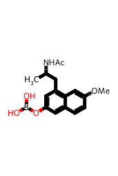 COc1ccc2cc(OB(O)O)cc(CC(C)NC(C)=O)c2c1